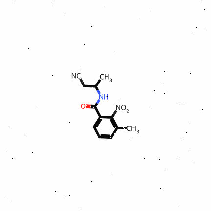 Cc1cccc(C(=O)NC(C)CC#N)c1[N+](=O)[O-]